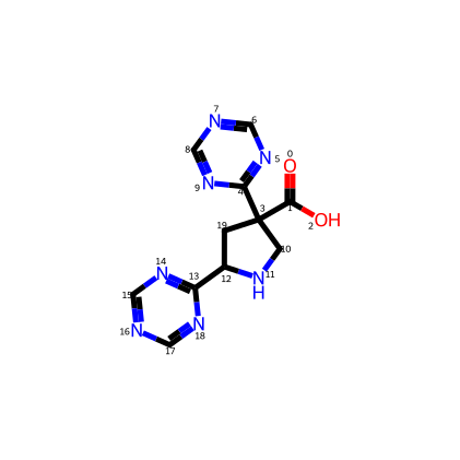 O=C(O)C1(c2ncncn2)CNC(c2ncncn2)C1